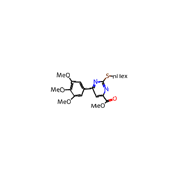 CCCCCCSc1nc(C(=O)OC)cc(-c2cc(OC)c(OC)c(OC)c2)n1